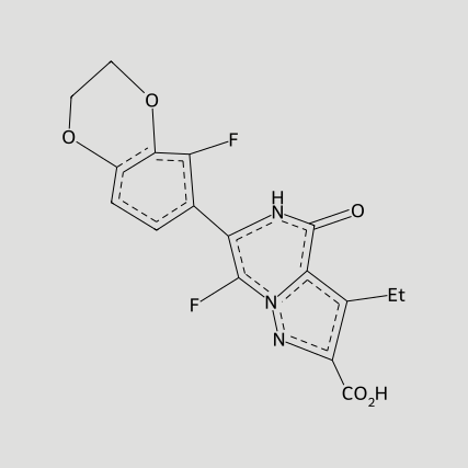 CCc1c(C(=O)O)nn2c(F)c(-c3ccc4c(c3F)OCCO4)[nH]c(=O)c12